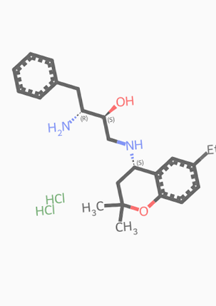 CCc1ccc2c(c1)[C@@H](NC[C@H](O)[C@H](N)Cc1ccccc1)CC(C)(C)O2.Cl.Cl